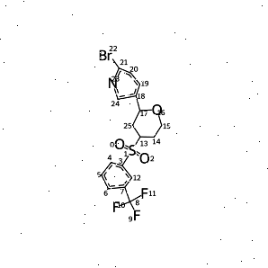 O=S(=O)(c1cccc(C(F)(F)F)c1)C1CCOC(c2ccc(Br)nc2)C1